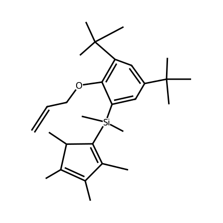 C=CCOc1c(C(C)(C)C)cc(C(C)(C)C)cc1[Si](C)(C)C1=C(C)C(C)=C(C)C1C